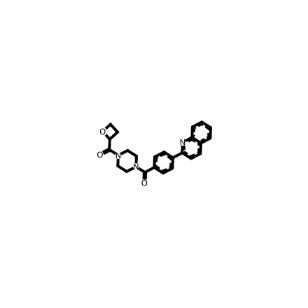 O=C(c1ccc(-c2ccc3ccccc3n2)cc1)N1CCN(C(=O)C2CCO2)CC1